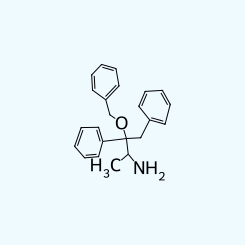 CC(N)C(Cc1ccccc1)(OCc1ccccc1)c1ccccc1